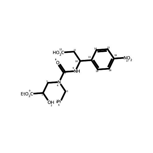 CCOC(=O)C(O)CN(CC(C)C)C(=O)NC(CC(=O)O)c1ccc([N+](=O)[O-])cc1